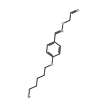 O=CCO/N=C/c1ccc(OCCCCCBr)cc1